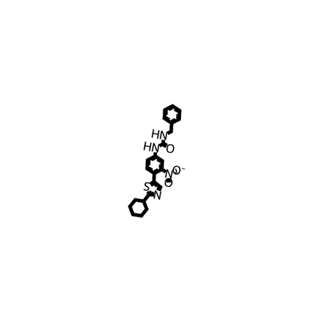 O=C(NCc1ccccc1)Nc1ccc(-c2cnc(C3CCCCC3)s2)c([N+](=O)[O-])c1